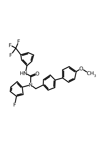 COc1ccc(-c2ccc(CN(C(=O)Nc3cccc(C(F)(F)F)c3)c3cccc(F)c3)cc2)cc1